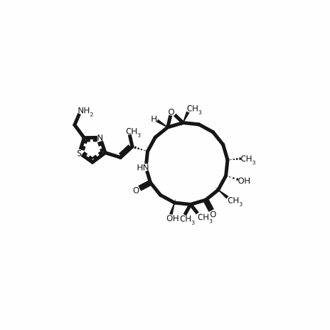 C/C(=C\c1csc(CN)n1)[C@@H]1C[C@@H]2O[C@]2(C)CCC[C@H](C)[C@H](O)[C@@H](C)C(=O)C(C)(C)[C@@H](O)CC(=O)N1